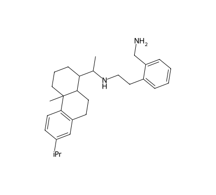 CC(C)c1ccc2c(c1)CCC1C(C(C)NCCc3ccccc3CN)CCCC21C